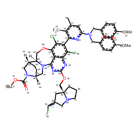 COc1ccc(CN(Cc2ccc(OC)cc2)c2cc(C)c(C(F)(F)F)c(-c3c(Cl)c4c5c(nc(OC[C@@]67CCCN6C/C(=C\F)C7)nc5c3F)N3C[C@H]5CC[C@H](CN5C(=O)OC(C)(C)C)[C@H]3CO4)n2)cc1